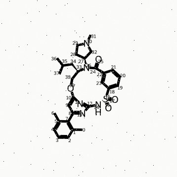 Cc1cccc(C)c1-c1cc2nc(n1)NS(=O)(=O)c1cccc(c1)C(=O)N([C@H]1CCN(C)C1)[C@H](CC(C)C)CO2